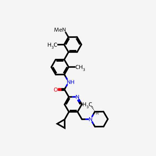 CNc1cccc(-c2cccc(NC(=O)c3cc(C4CC4)c(CN4CCCC[C@H]4C)cn3)c2C)c1C